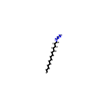 CCCCCCCCCCCCCCCN=[N+]=[N-]